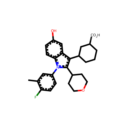 Cc1cc(-n2c(C3CCOCC3)c(C3CCCC(C(=O)O)C3)c3cc(O)ccc32)ccc1F